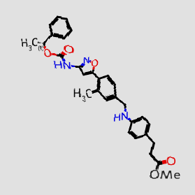 COC(=O)CCc1ccc(NCc2ccc(-c3cc(NC(=O)O[C@H](C)c4ccccc4)no3)c(C)c2)cc1